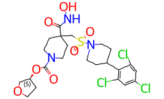 O=C(O[C@H]1CCOC1)N1CCC(CS(=O)(=O)N2CCC(c3c(Cl)cc(Cl)cc3Cl)CC2)(C(=O)NO)CC1